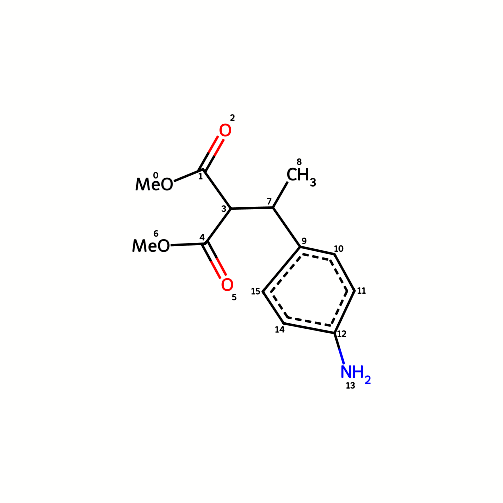 COC(=O)C(C(=O)OC)C(C)c1ccc(N)cc1